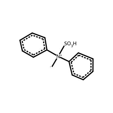 [CH2][N+](c1ccccc1)(c1ccccc1)S(=O)(=O)O